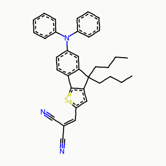 CCCCC1(CCCC)c2cc(N(c3ccccc3)c3ccccc3)ccc2-c2sc(C=C(C#N)C#N)cc21